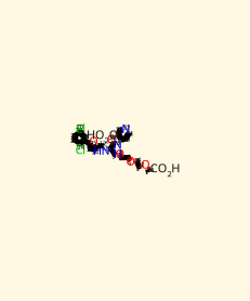 O=C(O)COCCOCCOCC(NCc1ccc(-c2cc(Cl)ccc2Cl)o1)C(=O)Nc1ccncc1C(=O)O